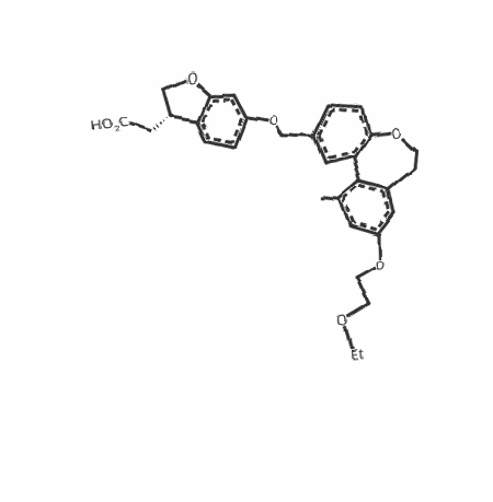 CCOCCOc1cc(C)c2c(c1)CCOc1ccc(COc3ccc4c(c3)OC[C@H]4CC(=O)O)cc1-2